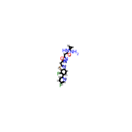 NC1(NC(=O)Cc2nnc(CC3=NC4C=CC(c5ccc(F)cn5)=C(F)C4S3)o2)CC1